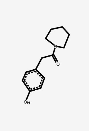 O=C(Cc1ccc(O)cc1)N1CCCCC1